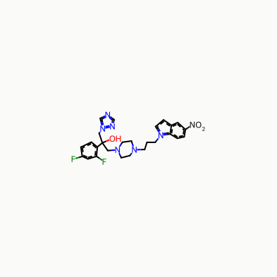 O=[N+]([O-])c1ccc2c(ccn2CCCN2CCN(CC(O)(Cn3cncn3)c3ccc(F)cc3F)CC2)c1